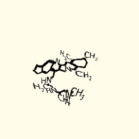 C=C(CNC)NCC(=C)NCc1c2c(nc3cc4c(cc13)CCC4)C1=CC3=C(CCC(=C)C3C)C(=C)N1C2